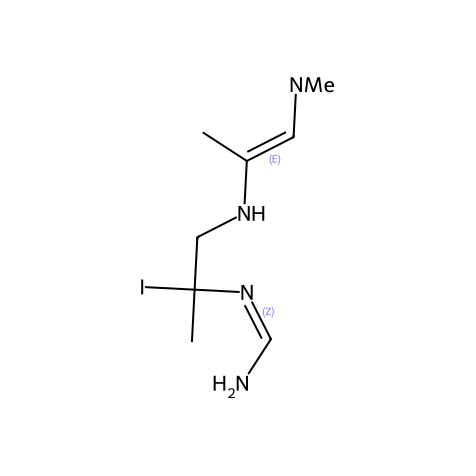 CN/C=C(\C)NCC(C)(I)/N=C\N